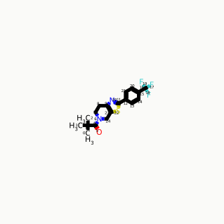 CC(C)(C)C(=O)N1CCc2nc(-c3ccc(C(F)(F)F)cc3)sc2C1